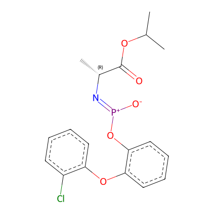 CC(C)OC(=O)[C@@H](C)N=[P+]([O-])Oc1ccccc1Oc1ccccc1Cl